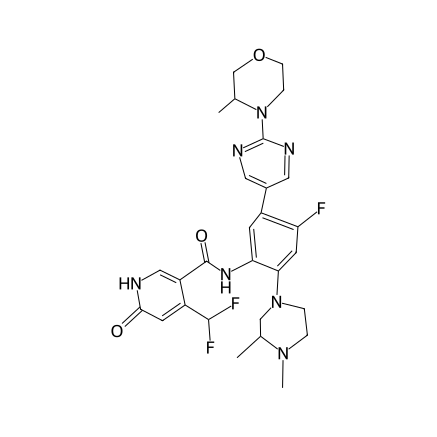 CC1CN(c2cc(F)c(-c3cnc(N4CCOCC4C)nc3)cc2NC(=O)c2c[nH]c(=O)cc2C(F)F)CCN1C